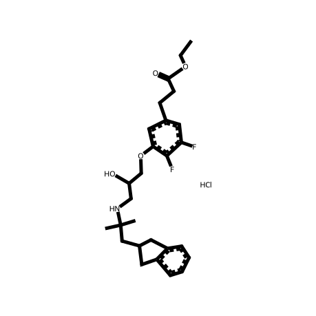 CCOC(=O)CCc1cc(F)c(F)c(OCC(O)CNC(C)(C)CC2Cc3ccccc3C2)c1.Cl